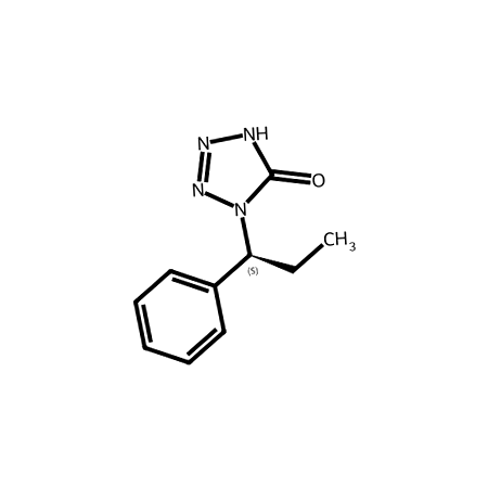 CC[C@@H](c1ccccc1)n1nn[nH]c1=O